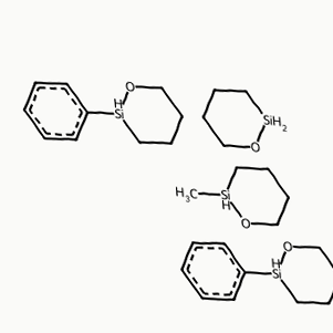 C1CC[SiH2]OC1.C[SiH]1CCCCO1.c1ccc([SiH]2CCCCO2)cc1.c1ccc([SiH]2CCCCO2)cc1